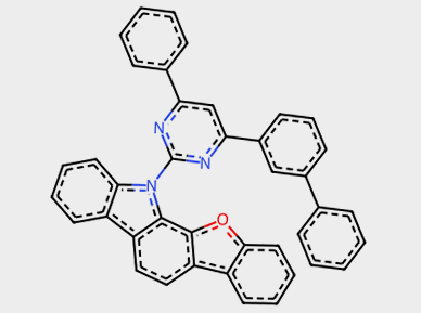 c1ccc(-c2cccc(-c3cc(-c4ccccc4)nc(-n4c5ccccc5c5ccc6c7ccccc7oc6c54)n3)c2)cc1